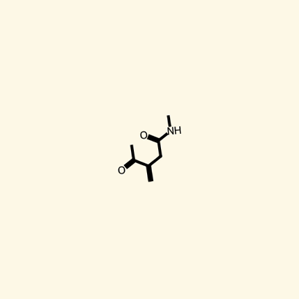 C=C(CC(=O)NC)C(C)=O